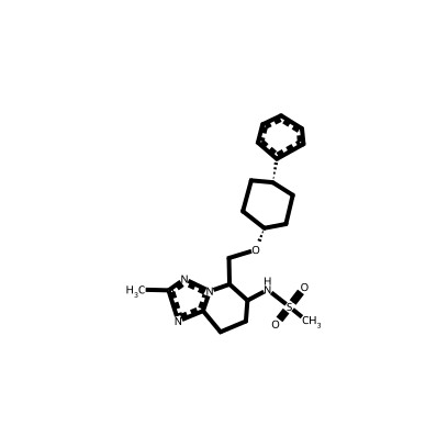 Cc1nc2n(n1)C(CO[C@H]1CC[C@@H](c3ccccc3)CC1)C(NS(C)(=O)=O)CC2